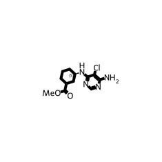 COC(=O)C1CCC[C@H](Nc2ncnc(N)c2Cl)C1